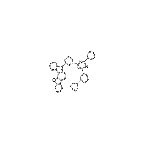 c1ccc(-c2cccc(-c3nc(-c4ccccc4)nc(-c4cccc(-n5c6ccccc6c6c7oc8ccccc8c7ccc65)c4)n3)c2)cc1